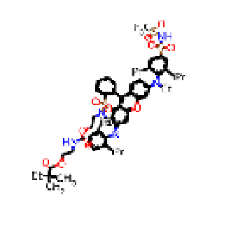 CCN(c1ccc2c(-c3ccccc3S(=O)(=O)N(CC)CCOC(=O)NCCOC(=O)C(C)(C)CC)c3cc/c(=N\c4c(C(C)C)cccc4C(C)C)cc-3oc2c1)c1c(C(C)C)cc(S(=O)(=O)NS(=O)(=O)C(F)(F)F)cc1C(C)C